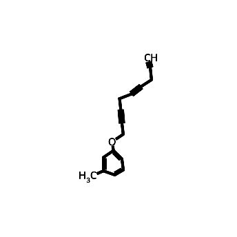 C#CCC#CCC#CCOc1cccc(C)c1